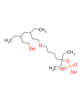 CCC(CCO)CC(CC)CCOCCCCC(CC)(CC)OP(=O)(O)O